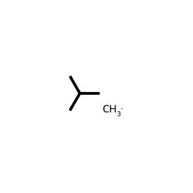 C[C](C)C.[CH3]